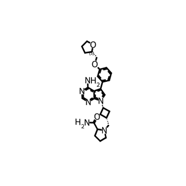 NC(=O)C1CCCN1C[C@H]1C[C@@H](n2cc(-c3cccc(OC[C@@H]4CCCO4)c3)c3c(N)ncnc32)C1